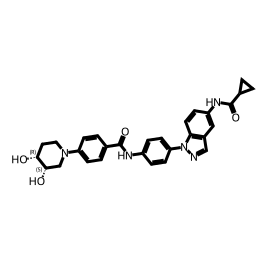 O=C(Nc1ccc(-n2ncc3cc(NC(=O)C4CC4)ccc32)cc1)c1ccc(N2CC[C@@H](O)[C@@H](O)C2)cc1